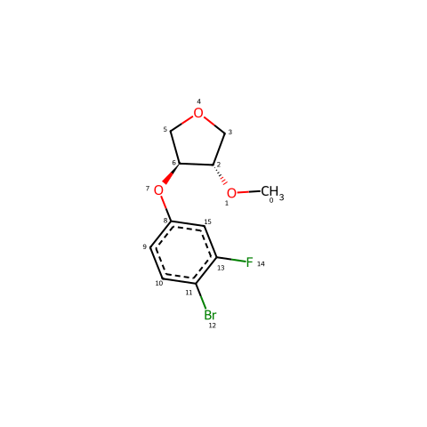 CO[C@H]1COC[C@@H]1Oc1ccc(Br)c(F)c1